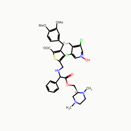 COc1ccc([C@H](Cc2c(Cl)c[n+](O)cc2Cl)c2cc(CNC(C(=O)OC[C@@H]3CN(C)CCN3C)c3ccccc3)sc2C(=O)[O-])cc1OC